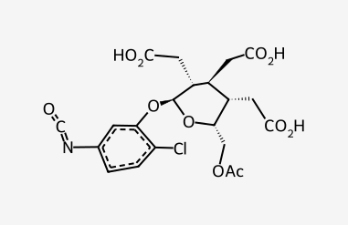 CC(=O)OC[C@@H]1O[C@@H](Oc2cc(N=C=O)ccc2Cl)[C@H](CC(=O)O)[C@@H](CC(=O)O)[C@@H]1CC(=O)O